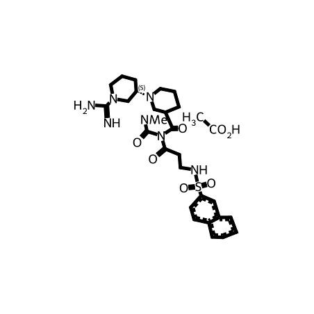 CC(=O)O.CNC(=O)N(C(=O)CCNS(=O)(=O)c1ccc2ccccc2c1)C(=O)C1CCCN([C@H]2CCCN(C(=N)N)C2)C1